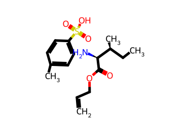 C=CCOC(=O)[C@@H](N)[C@@H](C)CC.Cc1ccc(S(=O)(=O)O)cc1